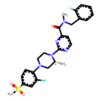 C[C@@H]1CN(c2ccc(S(C)(=O)=O)cc2F)CCN1c1nccc(C(=O)N(C)Cc2ccccc2F)n1